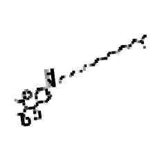 CC(=O)C(C(C)=O)C(=O)c1ccc(NCCCCCCCCCCCCCCC(C)C)cc1